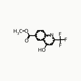 COC(=O)c1ccc2nc(C(F)(F)F)cc(O)c2c1